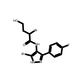 CC(C)c1[nH]nc(-c2ccc(F)cc2)c1NC(=O)C(Br)CCO